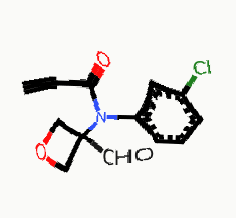 C#CC(=O)N(c1cccc(Cl)c1)C1(C=O)COC1